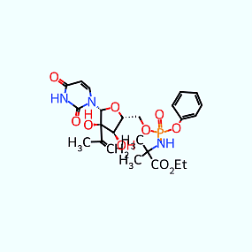 C=C(C)[C@@]1(O)[C@H](O)[C@@H](COP(=O)(NC(C)(C)C(=O)OCC)Oc2ccccc2)O[C@H]1n1ccc(=O)[nH]c1=O